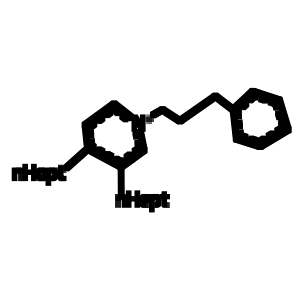 CCCCCCCc1cc[n+](CCCc2ccccc2)cc1CCCCCCC